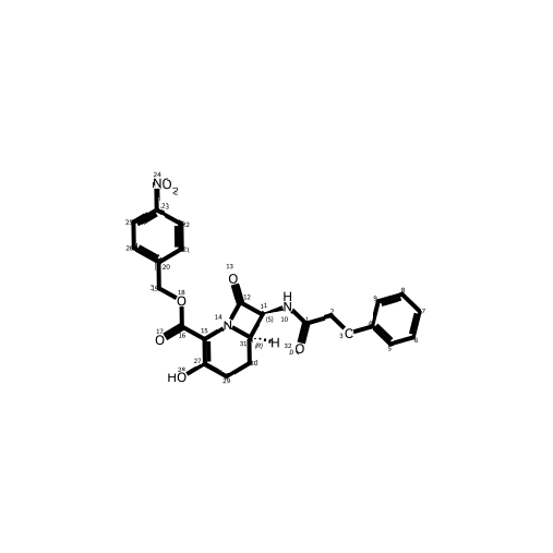 O=C(COc1ccccc1)N[C@@H]1C(=O)N2C(C(=O)OCc3ccc([N+](=O)[O-])cc3)=C(O)CC[C@H]12